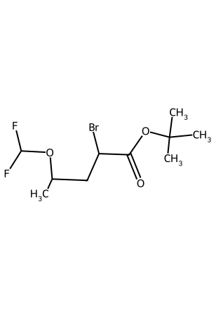 CC(CC(Br)C(=O)OC(C)(C)C)OC(F)F